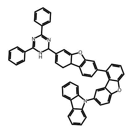 C1=C(C2N=C(c3ccccc3)N=C(c3ccccc3)N2)C=C2Oc3cc(-c4cccc5oc6ccc(-n7c8ccccc8c8ccccc87)cc6c45)ccc3C2C1